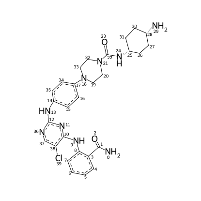 NC(=O)c1ccccc1Nc1nc(Nc2ccc(N3CCN(C(=O)N[C@H]4CC[C@@H](N)CC4)CC3)cc2)ncc1Cl